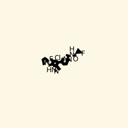 O=C(Nc1cn2cc(-c3c(Cl)c(F)c(CN4CCCC4)c4[nH]ncc34)ccc2n1)[C@@H]1C[C@@H]1F